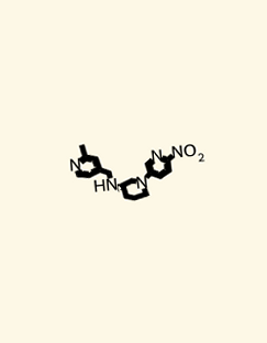 Cc1cc(CN[C@H]2CCCN(c3ccc([N+](=O)[O-])nc3)C2)ccn1